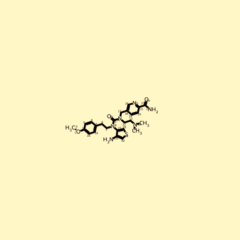 COc1ccc(CCN(C(=O)N(CCN(C)C)Cc2ccc(C(N)=O)nc2)c2cscc2N)cc1